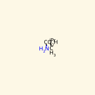 CC(C)C.NC(=O)O